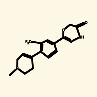 CN1CC=C(c2ccc(C3=NNC(=O)CO3)cc2C(F)(F)F)CC1